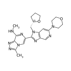 CNc1nc(-c2nc3cnc(N4CCOCC4)cc3n2C[C@@H]2CCCO2)cn2c(C)nnc12